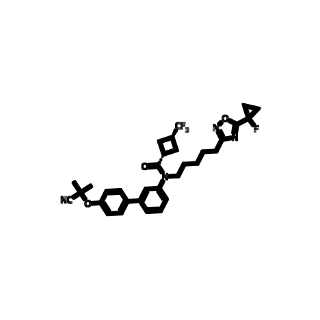 CC(C)(C#N)Oc1ccc(-c2cccc(N(CCCCCc3noc(C4(F)CC4)n3)C(=O)[C@H]3C[C@H](C(F)(F)F)C3)c2)cc1